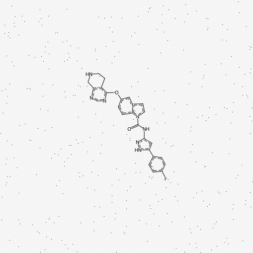 O=C(Nc1cc(-c2ccc(F)cc2)[nH]n1)n1ccc2cc(Oc3ncnc4c3CCNC4)ccc21